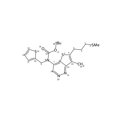 CSCCCc1sc2c(N(Cc3cccs3)C(=O)OC(C)(C)C)cnnc2c1C